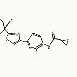 Cc1cc(-c2noc(C(F)(F)F)n2)ccc1NC(=O)C1CC1